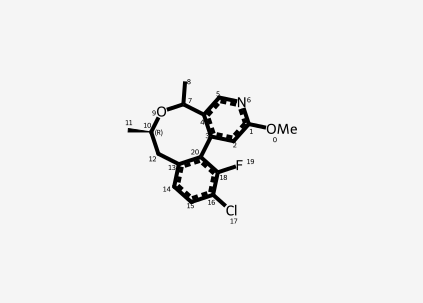 COc1cc2c(cn1)C(C)O[C@H](C)Cc1ccc(Cl)c(F)c1-2